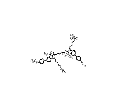 CSc1ccc(-c2ccc3c(c2)C(C)(C)C(/C=C/C=C/C=C/C=C2/N(CCCCS(=O)(=O)O)c4ccc(-c5ccc(SC)cc5)cc4C2(C)C)=[N+]3CCCCSOOO)cc1